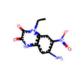 CCn1c(=O)c(=O)[nH]c2cc(N)c([N+](=O)[O-])cc21